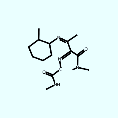 CNC(=O)ON=C(C(=O)N(C)C)C(C)=NC1CCCCC1C